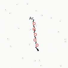 C#CCOCCOCCOCCOCCOCCC(C)=O